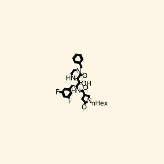 CCCCCCN1CC(C(=O)N[C@@H](Cc2cc(F)cc(F)c2)[C@H](O)[C@@H]2NCCN(Cc3ccccc3)C2=O)CC1=O